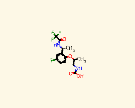 CC(CNC(=O)O)Oc1ccc(F)cc1[C@@H](C)NC(=O)C(F)(F)F